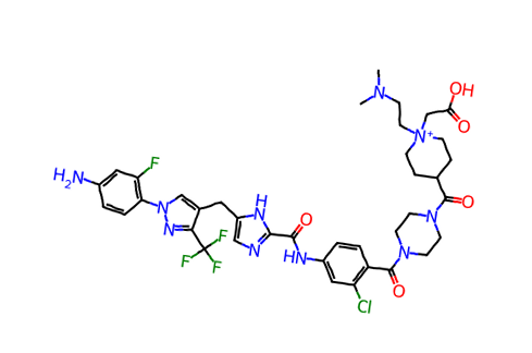 CN(C)CC[N+]1(CC(=O)O)CCC(C(=O)N2CCN(C(=O)c3ccc(NC(=O)c4ncc(Cc5cn(-c6ccc(N)cc6F)nc5C(F)(F)F)[nH]4)cc3Cl)CC2)CC1